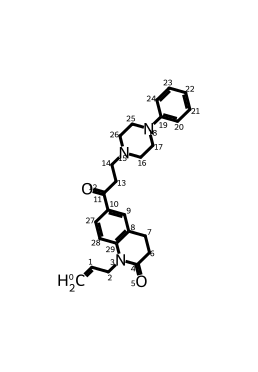 C=CCN1C(=O)CCc2cc(C(=O)CCN3CCN(c4ccccc4)CC3)ccc21